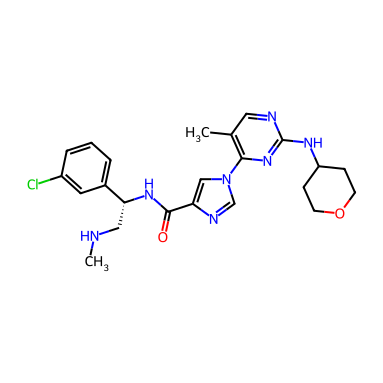 CNC[C@@H](NC(=O)c1cn(-c2nc(NC3CCOCC3)ncc2C)cn1)c1cccc(Cl)c1